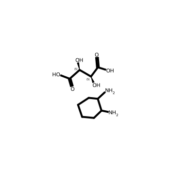 NC1CCCCC1N.O=C(O)[C@@H](O)[C@H](O)C(=O)O